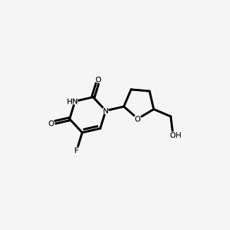 O=c1[nH]c(=O)n(C2CCC(CO)O2)cc1F